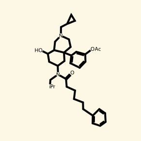 CC(=O)Oc1cccc(C23CCN(CC4CC4)CC2C(O)CC(N(CC(C)C)C(=O)CCCCCc2ccccc2)C3)c1